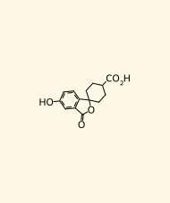 O=C1OC2(CCC(C(=O)O)CC2)c2ccc(O)cc21